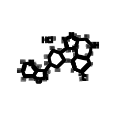 Cl.Clc1ccc2c(c1)CNCc1nnc(C3CCC(c4noc5cccnc45)CC3)n1-2